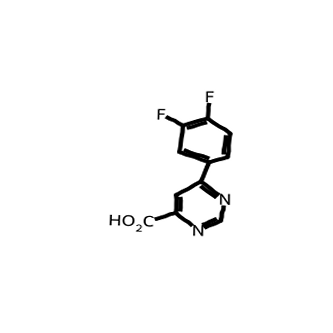 O=C(O)c1cc(-c2ccc(F)c(F)c2)ncn1